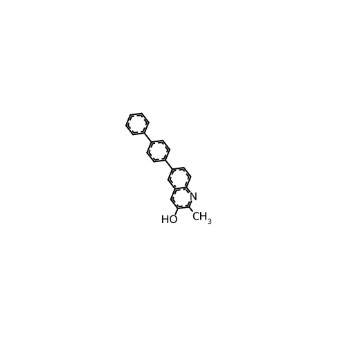 Cc1nc2ccc(-c3ccc(-c4ccccc4)cc3)cc2cc1O